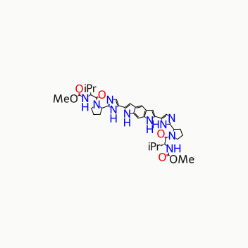 COC(=O)NC(C(=O)N1CCCC1c1ncc(-c2cc3cc4cc(-c5cnc(C6CCCN6C(=O)[C@@H](NC(=O)OC)C(C)C)[nH]5)[nH]c4cc3[nH]2)[nH]1)C(C)C